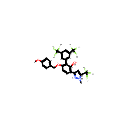 COc1ccc(COc2ccc(-c3cc(C(F)(F)F)n(C)n3)c(O)c2-c2cc(C(F)(F)F)cc(C(F)(F)F)c2)cc1